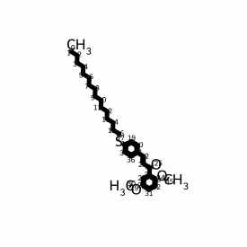 CCCCCCCCCCCCCCCCCSc1ccc(C=CC(=O)c2cc(OC)ccc2OC)cc1